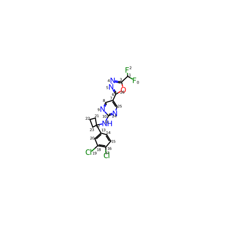 FC(F)c1nnc(-c2cnc(NC3(c4ccc(Cl)c(Cl)c4)CCC3)nc2)o1